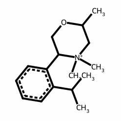 CC1C[N+](C)(C)C(c2ccccc2C(C)C)CO1